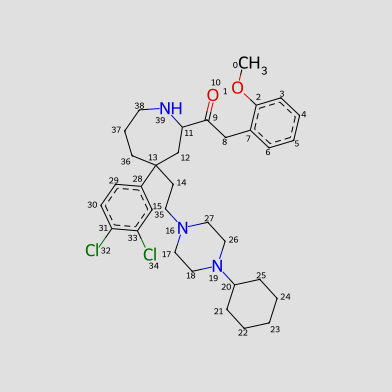 COc1ccccc1CC(=O)C1CC(CCN2CCN(C3CCCCC3)CC2)(c2ccc(Cl)c(Cl)c2)CCCN1